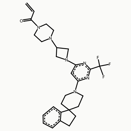 C=CC(=O)N1CCN(C2CN(c3cc(N4CCC5(CCc6ccccc65)CC4)nc(C(F)(F)F)n3)C2)CC1